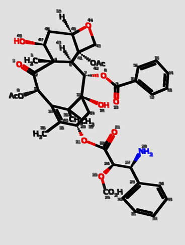 CC(=O)O[C@H]1C(=O)[C@@]2(C)[C@H]([C@H](OC(=O)c3ccccc3)[C@]3(O)C[C@H](OC(=O)[C@H](OC(=O)O)[C@@H](N)c4ccccc4)C(C)=C1C3(C)C)[C@]1(OC(C)=O)CO[C@@H]1C[C@@H]2O